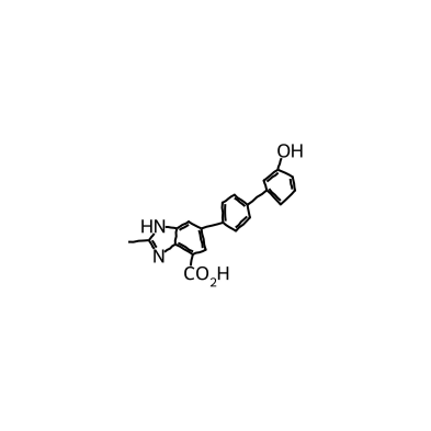 Cc1nc2c(C(=O)O)cc(-c3ccc(-c4cccc(O)c4)cc3)cc2[nH]1